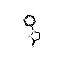 O=C1CCN(c2cccnc2)N1